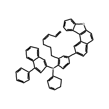 C=C/C=C\CCCc1cc(-c2ccc3ccc4oc5ccccc5c4c3c2)ccc1N(C1=CC=CCC1)c1cc(-c2ccccc2)c2ccccc2c1